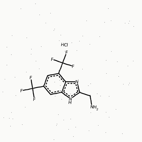 Cl.NCc1nc2c(C(F)(F)F)cc(C(F)(F)F)cc2[nH]1